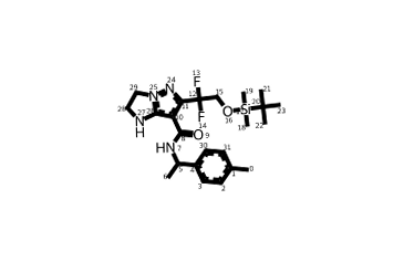 Cc1ccc(C(C)NC(=O)c2c(C(F)(F)CO[Si](C)(C)C(C)(C)C)nn3c2NCC3)cc1